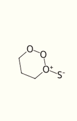 [S-][O+]1CCCOO1